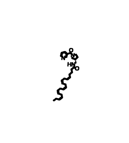 CC/C=C\C/C=C\C/C=C\C/C=C\C/C=C\CCCC(=O)NC[C@H]1CCN(C(=O)c2cccnc2)C1